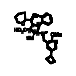 COc1ncc(C2CCC2)cc1CN(C)[C@H]1[C@H](C(C)(C)C)[C@@H](C(=O)O)N(C(=O)C2CCCCO2)[C@H]1c1ccccc1C(C)C